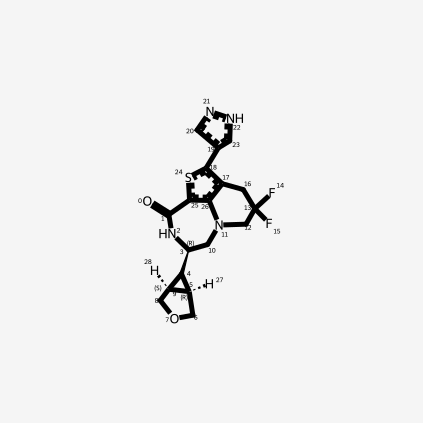 O=C1N[C@H](C2[C@H]3COC[C@@H]23)CN2CC(F)(F)Cc3c(-c4cn[nH]c4)sc1c32